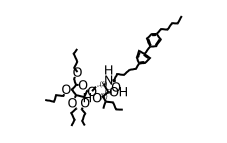 CCCCCc1ccc(-c2ccc(CCCCC(=O)N[C@@H](COC3OC(COCCCC)C(OCCCC)C(OCCCC)C3OCCCC)[C@H](O)[C@H](O)C(C)CCC)cc2)cc1